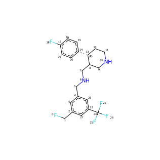 FCc1cc(CNCC2CNCC[C@H]2c2ccc(F)cc2)cc(C(F)(F)F)c1